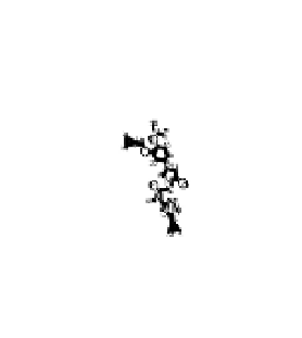 CN(C(=O)CN1C[C@@H](c2ccc(OC(F)F)c(OCC3CC3)c2)CC1=O)c1nnc(C2CC2)s1